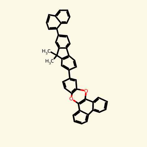 CC1(C)c2cc(-c3ccc4c(c3)Oc3c(c5ccccc5c5ccccc35)O4)ccc2-c2ccc(-c3cccc4ccccc34)cc21